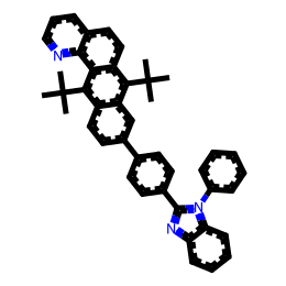 CC(C)(C)c1c2cc(-c3ccc(-c4nc5ccccc5n4-c4ccccc4)cc3)ccc2c(C(C)(C)C)c2c1ccc1cccnc12